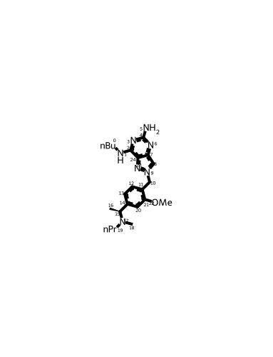 CCCCNc1nc(N)nc2cn(Cc3ccc([C@H](C)N(C)CCC)cc3OC)nc12